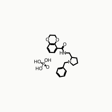 O=C(NCC1CCCN1Cc1ccccc1)c1cccc2c1OCCO2.O=P(O)(O)O